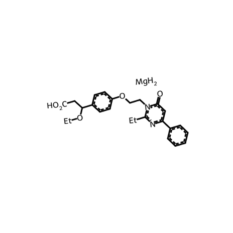 CCOC(CC(=O)O)c1ccc(OCCn2c(CC)nc(-c3ccccc3)cc2=O)cc1.[MgH2]